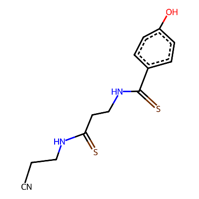 N#CCCNC(=S)CCNC(=S)c1ccc(O)cc1